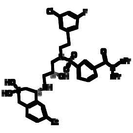 CCCN(CCC)C(=O)c1cccc(S(=O)(=O)N(CCc2cc(F)cc(Cl)c2)C[C@H](O)CN[C@H]2CS(O)(O)Cc3ccc(CC)cc32)c1